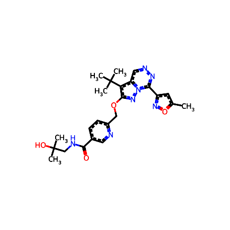 Cc1cc(-c2nncc3c(C(C)(C)C)c(OCc4ccc(C(=O)NCC(C)(C)O)cn4)nn23)no1